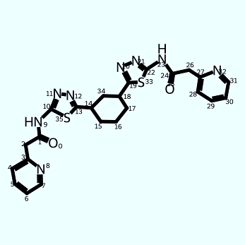 O=C(Cc1ccccn1)Nc1nnc(C2CCCC(c3nnc(NC(=O)Cc4ccccn4)s3)C2)s1